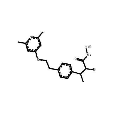 CCC(C(=O)NC=O)C(C)c1ccc(CCOc2cc(C)nc(C)c2)cc1